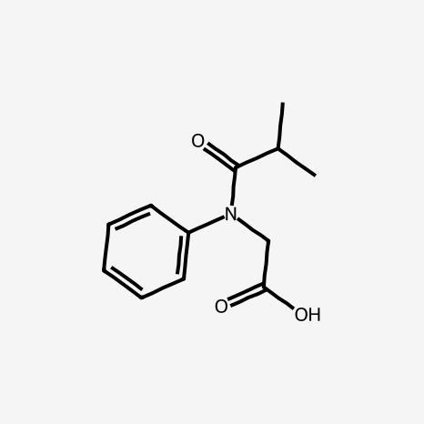 CC(C)C(=O)N(CC(=O)O)c1ccccc1